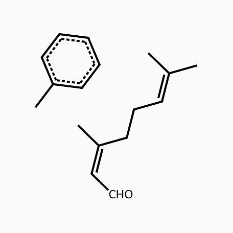 CC(C)=CCCC(C)=CC=O.Cc1ccccc1